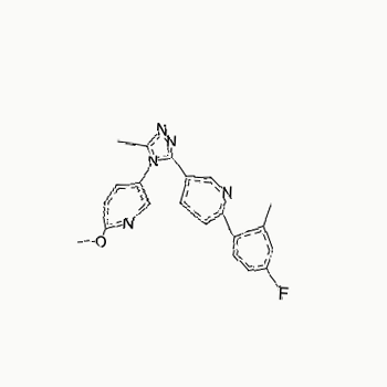 COc1ccc(-n2c(C)nnc2-c2ccc(-c3ccc(F)cc3C)nc2)cn1